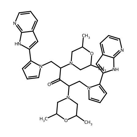 CC1CN(C(Cn2cccc2-c2cc3cccnc3[nH]2)C(=O)C(Cn2cccc2-c2cc3cccnc3[nH]2)N2CC(C)OC(C)C2)CC(C)O1